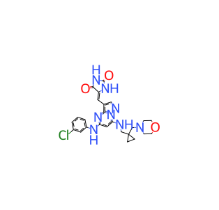 O=C1NC(=O)/C(=C/c2cnn3c(NCC4(CN5CCOCC5)CC4)cc(Nc4cccc(Cl)c4)nc23)N1